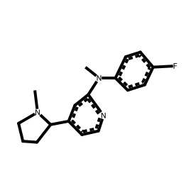 CN(c1ccc(F)cc1)c1cc(C2CCCN2C)ccn1